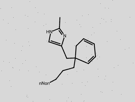 CCCCCCCCCCCCC1(Cc2c[nH]c(C)n2)C=CC=CC1